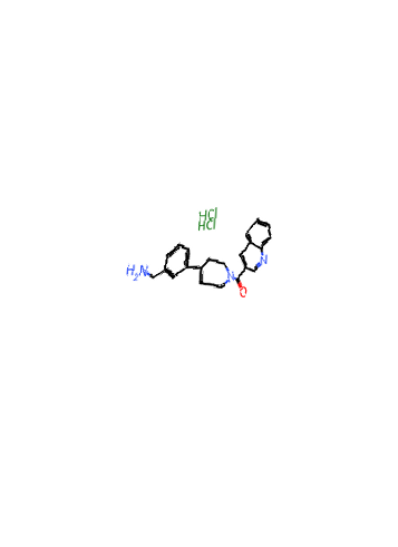 Cl.Cl.NCc1cccc(C2CCN(C(=O)c3cnc4ccccc4c3)CC2)c1